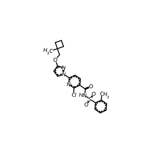 Cc1ccccc1S(=O)(=O)NC(=O)c1ccc(-n2ccc(OCC3(C)CCC3)n2)nc1Cl